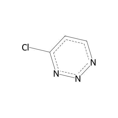 Clc1ccnnn1